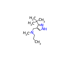 CCCN(C)Cc1c[nH]nc1C(C)(C)C